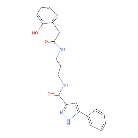 O=C(Cc1ccccc1O)NCCCNC(=O)c1cc(-c2ccccc2)[nH]n1